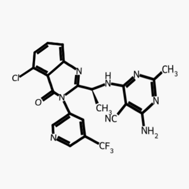 Cc1nc(N)c(C#N)c(N[C@@H](C)c2nc3cccc(Cl)c3c(=O)n2-c2cncc(C(F)(F)F)c2)n1